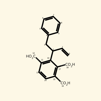 C=CC(Cc1ccccc1)c1c(C(=O)O)ccc(C(=O)O)c1C(=O)O